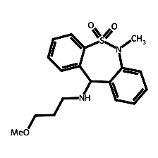 COCCCNC1c2ccccc2N(C)S(=O)(=O)c2ccccc21